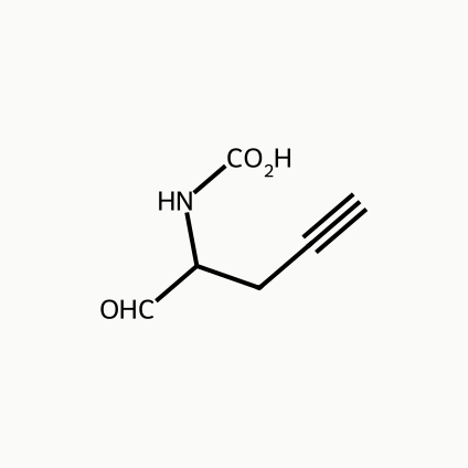 C#CCC(C=O)NC(=O)O